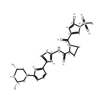 C[C@@H]1CN(c2cccc(-c3csc(NC(=O)C4CCN4C(=O)c4cc(Cl)n(S(C)(=O)=O)c4)n3)n2)C[C@H](C)O1